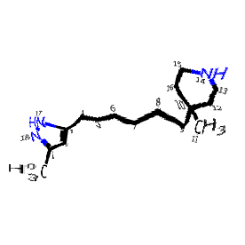 Cc1cc(CCCCCCC2(C)CCNCC2)[nH]n1